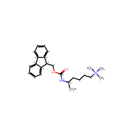 C[N+](C)(C)CCCC[C@H](NC(=O)OCC1c2ccccc2-c2ccccc21)C(=O)O